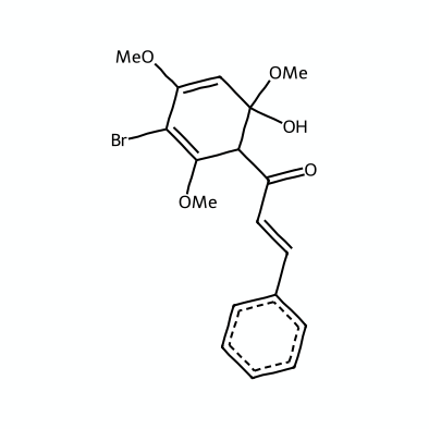 COC1=CC(O)(OC)C(C(=O)C=Cc2ccccc2)C(OC)=C1Br